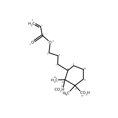 C=CC(=O)OCCCC1CCCC(C)(C(=O)O)C1(C)C(=O)O